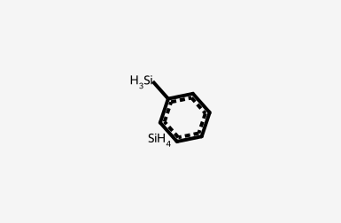 [SiH3]c1ccccc1.[SiH4]